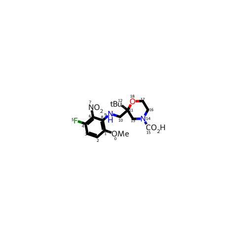 COc1ccc(F)c([N+](=O)[O-])c1NCC1(C(C)(C)C)CN(C(=O)O)CCO1